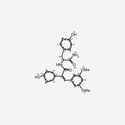 COc1cc(/C=C(\C(=O)NC(Cc2ccc(O)cc2)C(N)=O)c2ccc(O)cc2)cc(OC)c1